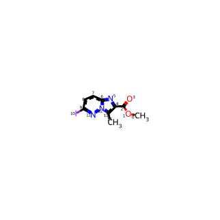 COC(=O)c1nc2ccc(I)nn2c1C